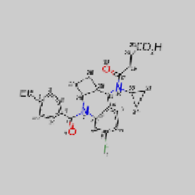 CCc1ccc(C(=O)N2c3cc(F)ccc3C(N(C(=O)CCC(=O)O)C3CC3)C3CCC32)cc1